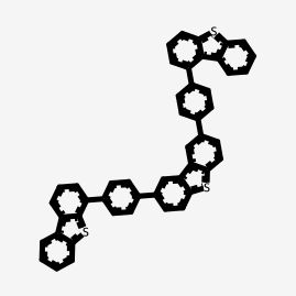 c1ccc2c(c1)sc1c(-c3ccc(-c4ccc5sc6ccc(-c7ccc(-c8cccc9sc%10ccccc%10c89)cc7)cc6c5c4)cc3)cccc12